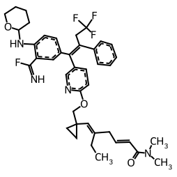 CC/C(=C\C1(COc2ccc(/C(=C(/CC(F)(F)F)c3ccccc3)c3ccc(NC4CCCCO4)c(C(=N)F)c3)cn2)CC1)C/C=C/C(=O)N(C)C